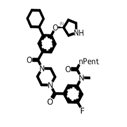 CCCCCC(=O)N(C)c1cc(F)cc(C(=O)N2CCN(C(=O)c3ccc(O[C@H]4CCNC4)c(C4CCCCC4)c3)CC2)c1